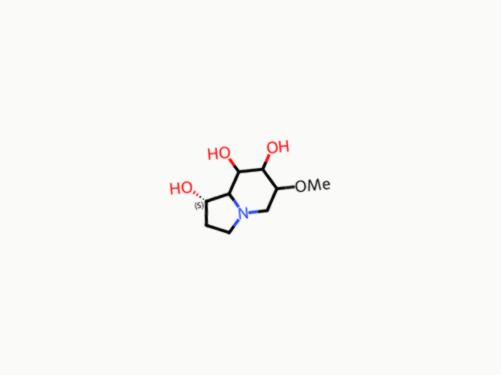 COC1CN2CC[C@H](O)C2C(O)C1O